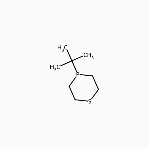 CC(C)(C)P1CCSCC1